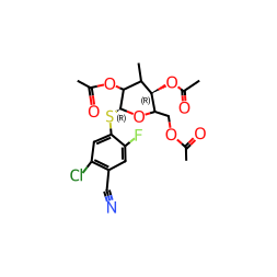 CC(=O)OCC1O[C@H](Sc2cc(Cl)c(C#N)cc2F)C(OC(C)=O)C(C)[C@H]1OC(C)=O